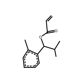 C=CC(=O)OC(c1ccccc1C)C(C)C